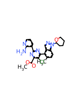 COC(=O)c1nc(-c2cccnc2N)nc(-c2c(C)ccc3c2cnn3C2CCCCO2)c1Cl